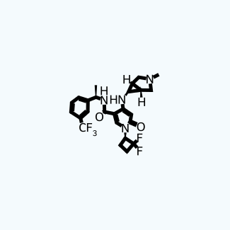 C[C@@H](NC(=O)c1cn([C@@H]2CCC2(F)F)c(=O)cc1N[C@H]1[C@@H]2CN(C)C[C@@H]21)c1cccc(C(F)(F)F)c1